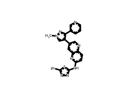 CC(C)c1nnc(Nc2ccc3ncc(-c4cn(C)nc4-c4cccnc4)cc3n2)s1